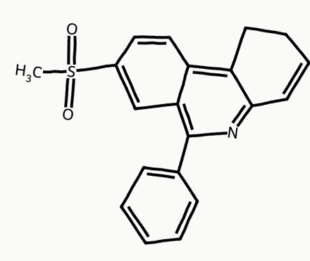 CS(=O)(=O)c1ccc2c3c(nc(-c4ccccc4)c2c1)C=CCC3